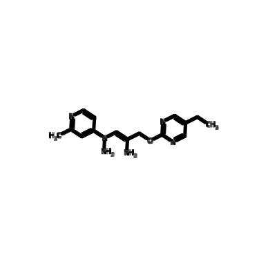 CCc1cnc(OC/C(N)=C/N(N)c2ccnc(C)c2)nc1